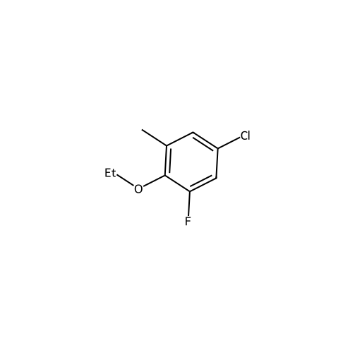 CCOc1c(C)cc(Cl)cc1F